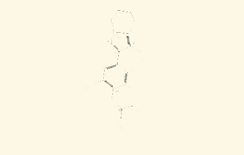 Cc1cc(-c2nn3c(c2C)OCCC3)ccc1OC(C)C